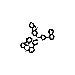 c1cc2c(c(-c3ccc(N(c4ccc(-c5cccc6ccccc56)cc4)c4ccc5c(c4)oc4ccccc45)cc3)c1)-n1c3ccccc3c3cccc(c31)O2